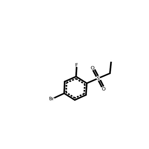 CCS(=O)(=O)c1ccc(Br)cc1F